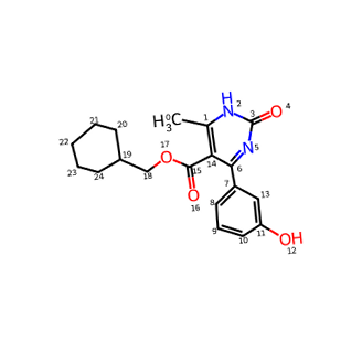 Cc1[nH]c(=O)nc(-c2cccc(O)c2)c1C(=O)OCC1CCCCC1